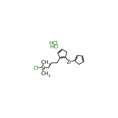 C[Si](C)(Cl)CCCC1=[C]([Zr][C]2=CC=CC2)CC=C1.Cl.Cl